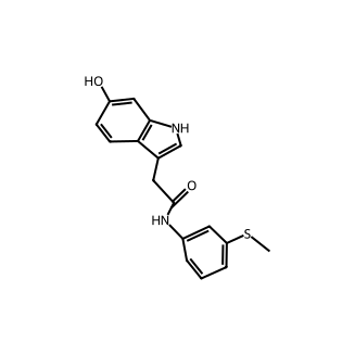 CSc1cccc(NC(=O)Cc2c[nH]c3cc(O)ccc23)c1